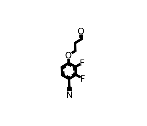 N#Cc1ccc(OCCC=O)c(F)c1F